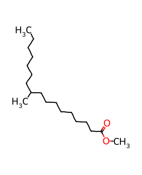 CCCCCCCC(C)CCCCCCCCC(=O)OC